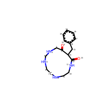 O=C1CNCNCCNCCNC(=O)C1Cc1ccccc1